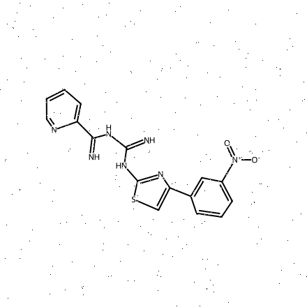 N=C(NC(=N)c1ccccn1)Nc1nc(-c2cccc([N+](=O)[O-])c2)cs1